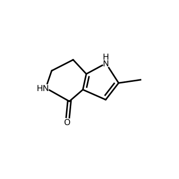 Cc1cc2c([nH]1)CCNC2=O